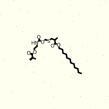 C=C(C)C(=O)OCCNC(=O)OCSCC(C)C(=O)OCCCCCCCCCCCC